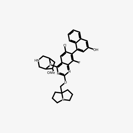 COC1CC2CNCC1N2c1nc(OCC23CCCN2CCC3)nc2c(F)c(-c3cc(O)cc4ccccc34)c(Cl)cc12